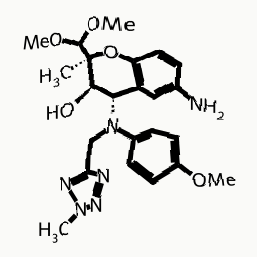 COc1ccc(N(Cc2nnn(C)n2)[C@H]2c3cc(N)ccc3O[C@](C)(C(OC)OC)[C@@H]2O)cc1